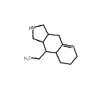 CCC1C2CCCN=C2CC2CNCC21